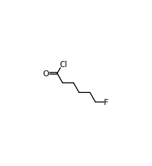 O=C(Cl)CCCCCF